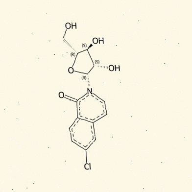 O=c1c2ccc(Cl)cc2ccn1[C@@H]1O[C@H](CO)[C@@H](O)[C@@H]1O